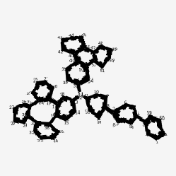 c1ccc(-c2ccc(-c3ccc(N(c4ccc5c(c4)-c4ccccc4-c4ccccc4-c4ccccc4-5)c4ccc5c6ccccc6c6ccccc6c5c4)cc3)cc2)cc1